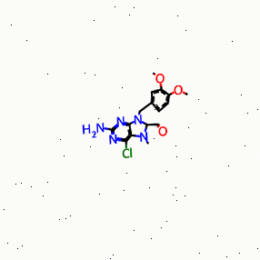 COc1ccc(CN2c3nc(N)nc(Cl)c3N(C)C2C=O)cc1OC